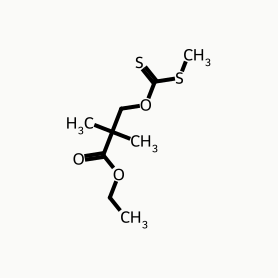 CCOC(=O)C(C)(C)COC(=S)SC